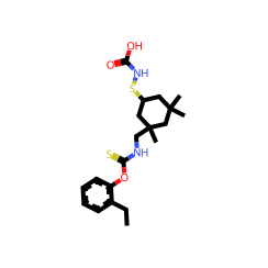 CCc1ccccc1OC(=S)NCC1(C)CC(SNC(=O)O)CC(C)(C)C1